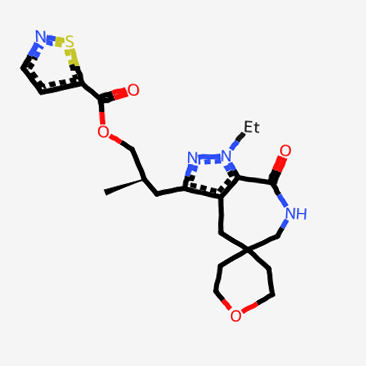 CCn1nc(C[C@@H](C)COC(=O)c2ccns2)c2c1C(=O)NCC1(CCOCC1)C2